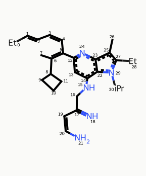 CC/C=C/C=C\C(=C(/C)C1CCC1)c1cc(NCC(=N)/C=C\N)c2c(n1)c(C)c(CC)n2C(C)C